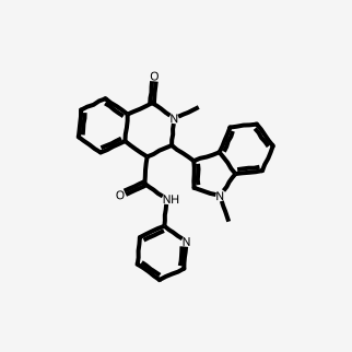 CN1C(=O)c2ccccc2C(C(=O)Nc2ccccn2)C1c1cn(C)c2ccccc12